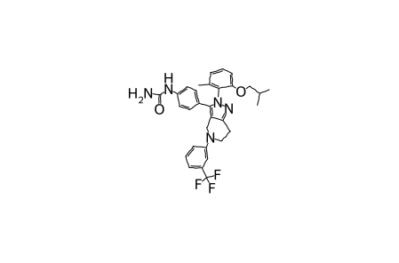 Cc1cccc(OCC(C)C)c1-n1nc2c(c1-c1ccc(NC(N)=O)cc1)CN(c1cccc(C(F)(F)F)c1)CC2